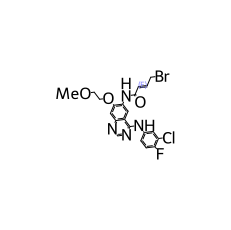 COCCOc1cc2ncnc(Nc3ccc(F)c(Cl)c3)c2cc1NC(=O)/C=C/CBr